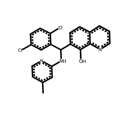 Cc1ccnc(NC(c2cc(Cl)ccc2Cl)c2ccc3cccnc3c2O)c1